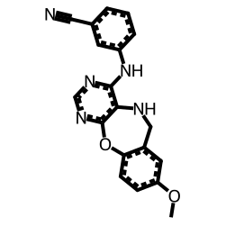 COc1ccc2c(c1)CNc1c(Nc3cccc(C#N)c3)ncnc1O2